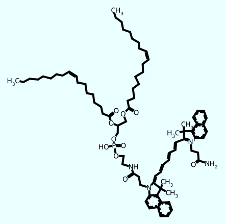 CCCCCCCC/C=C\CCCCCCCC(=O)OCC(COP(=O)(O)OCCNC(=O)CCN1/C(=C/C=C/C=C/C=C/C2=[N+](CCC(N)=O)c3ccc4ccccc4c3C2(C)C)C(C)(C)c2c1ccc1ccccc21)OC(=O)CCCCCCC/C=C\CCCCCCCC